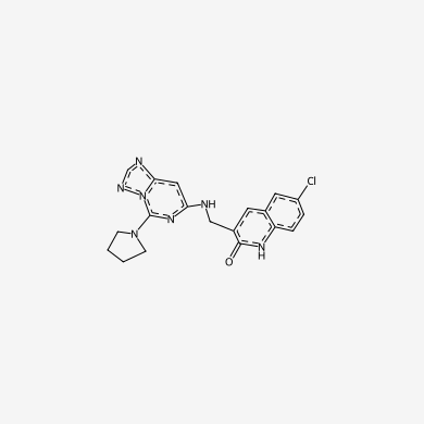 O=c1[nH]c2ccc(Cl)cc2cc1CNc1cc2ncnn2c(N2CCCC2)n1